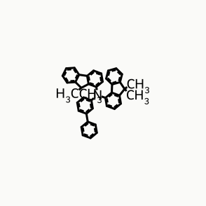 CC1(C)c2ccccc2-c2c(N(c3cccc(-c4ccccc4)c3)c3cccc4c3C(C)(C)c3ccccc3-4)cccc21